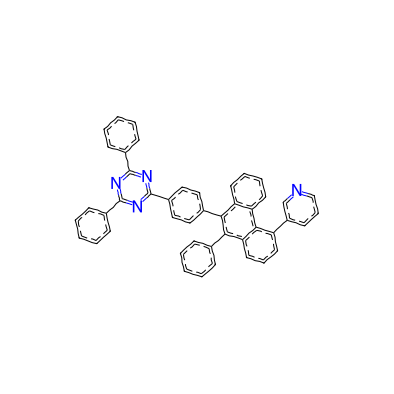 c1ccc(-c2nc(-c3ccccc3)nc(-c3ccc(-c4c(-c5ccccc5)c5cccc(-c6cccnc6)c5c5ccccc45)cc3)n2)cc1